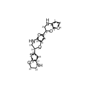 c1cc2c(o1)OC(c1cc3c(o1)NCC(c1cc4c(s1)OCCN4)O3)CN2